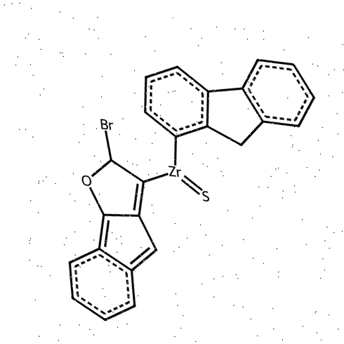 [S]=[Zr]([C]1=C2C=c3ccccc3=C2OC1Br)[c]1cccc2c1Cc1ccccc1-2